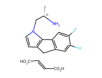 C[C@H](N)Cn1ccc2c1-c1cc(F)c(F)cc1C2.O=C(O)C=CC(=O)O